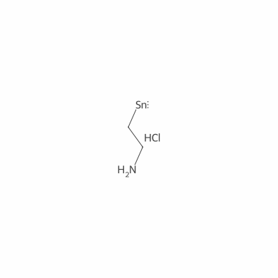 Cl.NC[CH2][Sn]